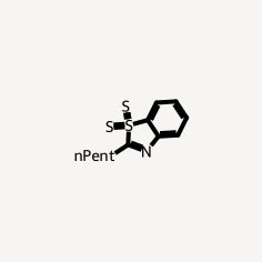 CCCCCC1=Nc2ccccc2S1(=S)=S